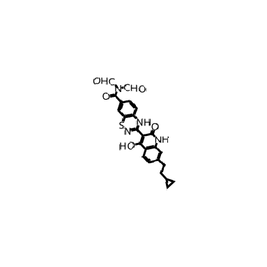 O=CN(C=O)C(=O)c1ccc2c(c1)SN=C(c1c(O)c3ccc(CCC4CC4)cc3[nH]c1=O)N2